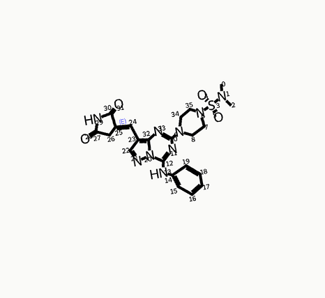 CN(C)S(=O)(=O)N1CCN(c2nc(Nc3ccccc3)n3ncc(/C=C4\CC(=O)NC4=O)c3n2)CC1